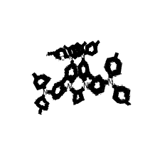 Cc1ccc(N(c2ccc(C)cc2)c2ccc3c(c2)c2cc(N(c4ccc(C)cc4)c4ccc(C)cc4)ccc2n3C2CCC2n2c3ccc(N(c4ccc(C)cc4)c4ccc(C)cc4)cc3c3cc(N(c4ccc(C)cc4)c4ccc(C)cc4)ccc32)cc1